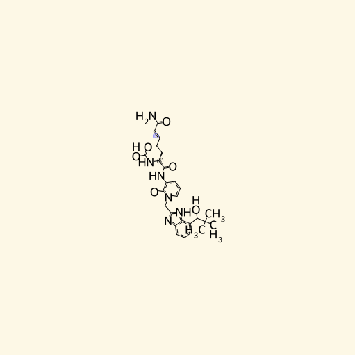 CC(C)(C)C(O)c1cccc2nc(Cn3cccc(NC(=O)[C@H](CC/C=C/C(N)=O)NC(=O)O)c3=O)[nH]c12